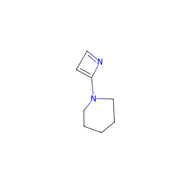 C1=NC(N2CCCCC2)=C1